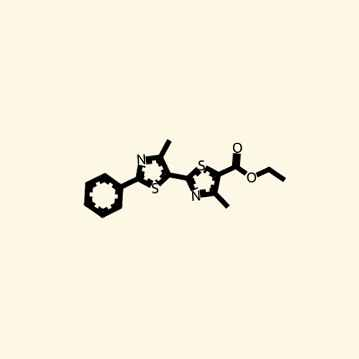 CCOC(=O)c1sc(-c2sc(-c3ccccc3)nc2C)nc1C